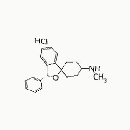 CNC1CCC2(CC1)O[C@H](c1ccccc1)c1ccccc12.Cl